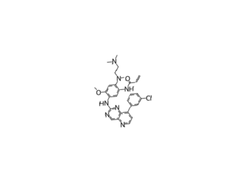 C=CC(=O)Nc1cc(Nc2ncc3nccc(-c4cccc(Cl)c4)c3n2)c(OC)cc1N(C)CCN(C)C